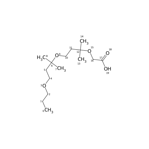 CCCOCCC(C)(C)OCCC(C)(C)OCC(=O)O